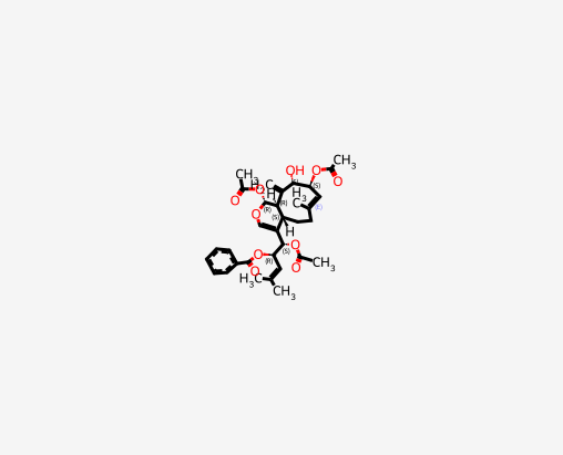 C=C1[C@@H]2[C@@H](OC(C)=O)OC=C([C@H](OC(C)=O)[C@@H](C=C(C)C)OC(=O)c3ccccc3)[C@H]2CC/C(C)=C/[C@H](OC(C)=O)[C@H]1O